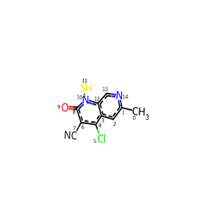 Cc1cc2c(Cl)c(C#N)c(=O)n(S)c2cn1